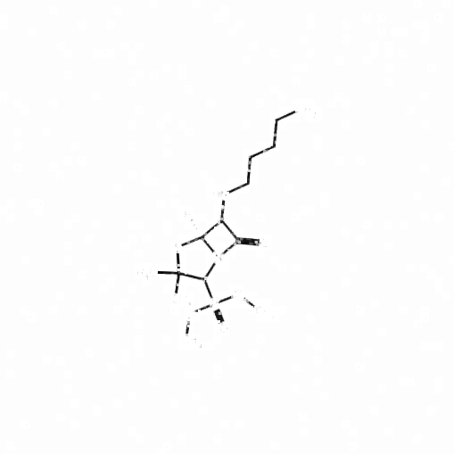 CCCCCNC1C(=O)N2C(P(=O)(OC)OC)C(C)(C)S[C@@H]12